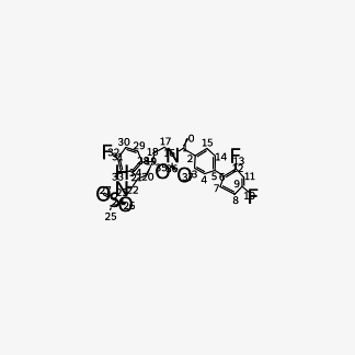 C[C@@H](c1ccc(-c2ccc(F)cc2F)cc1)N1CC[C@@](CCCNS(C)(=O)=O)(c2ccc(F)cc2)OC1=O